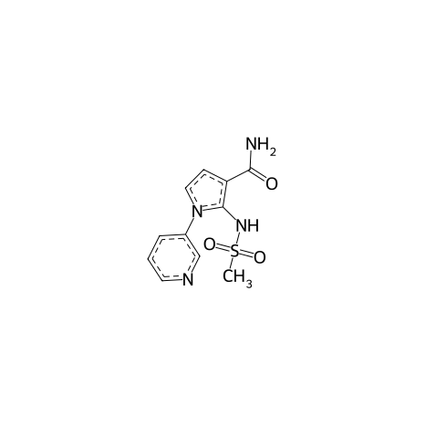 CS(=O)(=O)Nc1c(C(N)=O)ccn1-c1cccnc1